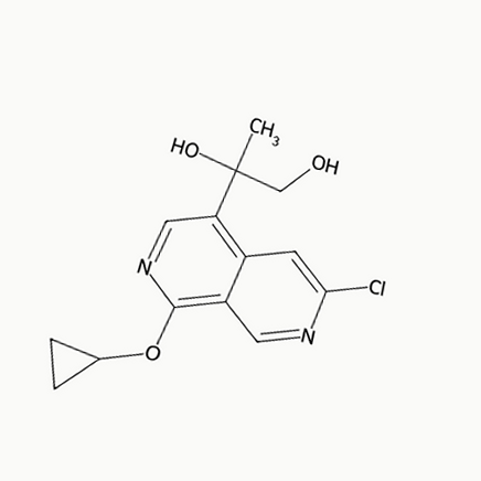 CC(O)(CO)c1cnc(OC2CC2)c2cnc(Cl)cc12